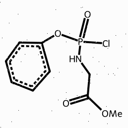 COC(=O)CNP(=O)(Cl)Oc1ccccc1